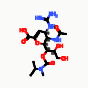 CC(=O)N[C@H]1[C@H]([C@H](OC(=O)N(C)C(C)C)[C@H](O)CO)OC(C(=O)O)=C[C@@H]1NC(=N)N